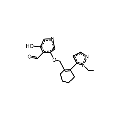 CCn1nccc1C1=C(COc2cncc(O)c2C=O)CCCC1